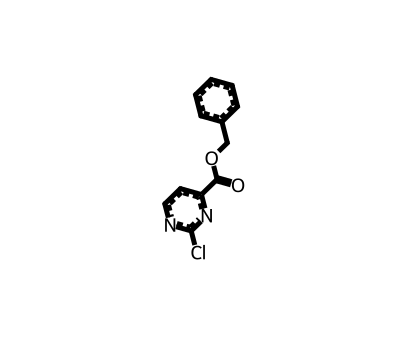 O=C(OCc1ccccc1)c1ccnc(Cl)n1